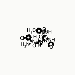 Cc1ccc(S(=O)(=O)O)cc1.Cc1cnc(NC2CCOCC2)nc1-n1cnc(C(=O)N[C@H](CN)c2cccc(Cl)c2)c1